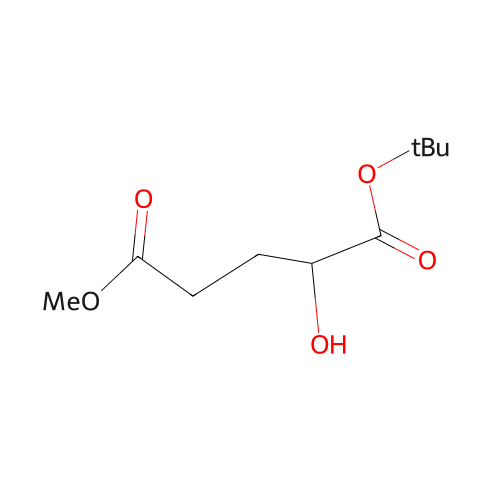 COC(=O)CCC(O)C(=O)OC(C)(C)C